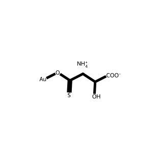 O=C([O-])C(O)CC(=S)[O][Au].[NH4+]